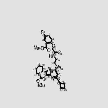 COC(=O)c1cc(F)ccc1OCC(=O)NCCN(C)c1cc(C2CCC2)nc2cc([C@@H]3CCCCN3C(=O)OC(C)(C)C)nn12